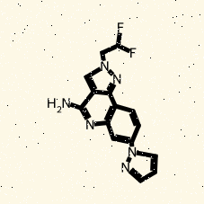 Nc1nc2cc(-n3cccn3)ccc2c2nn(CC(F)F)cc12